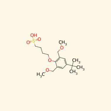 COCc1cc(C(C)(C)C)cc(COC)c1OCCCCS(=O)(=O)O